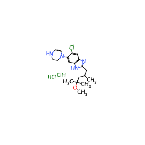 COC(C)(C)CC(C)Cc1nc2cc(Cl)c(N3CCNCC3)cc2[nH]1.Cl.Cl